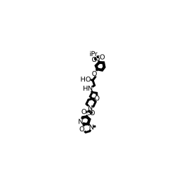 CC(C)S(=O)(=O)c1cccc(OCC(O)CNC2COC3(CCN(S(=O)(=O)c4cnc5c(c4)N(C)CCO5)CC3)C2)c1